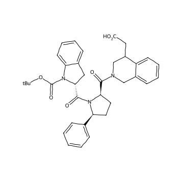 CC(C)(C)OC(=O)N1c2ccccc2C[C@@H]1C(=O)N1[C@@H](C(=O)N2Cc3ccccc3C(CC(=O)O)C2)CC[C@H]1c1ccccc1